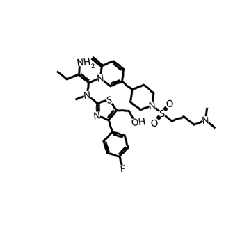 C=C1C=CC(C2CCN(S(=O)(=O)CCCN(C)C)CC2)=CN1/C(=C(\N)CC)N(C)c1nc(-c2ccc(F)cc2)c(CO)s1